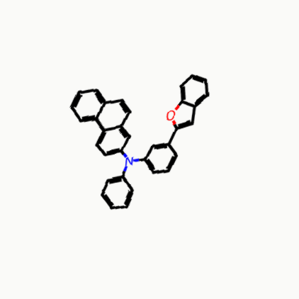 c1ccc(N(c2cccc(-c3cc4ccccc4o3)c2)c2ccc3c(ccc4ccccc43)c2)cc1